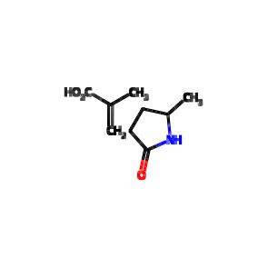 C=C(C)C(=O)O.CC1CCC(=O)N1